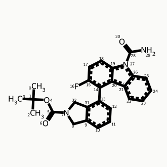 CC(C)(C)OC(=O)N1Cc2cccc(-c3c(F)ccc4c3c3ccccc3n4C(N)=O)c2C1